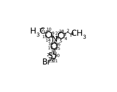 CCCc1ccc(N(c2ccc(C)cc2)c2ccc(-c3ccc(Br)s3)cc2)cc1